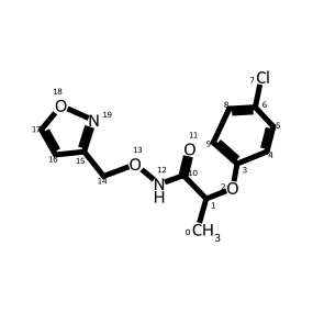 CC(Oc1ccc(Cl)cc1)C(=O)NOCc1ccon1